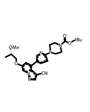 CO[C@@H](C)COc1cc(-c2ccc(N3CCN(C(=O)OC(C)(C)C)CC3)nc2)c2c(C#N)cnn2c1